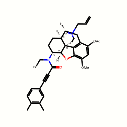 C=CCN1CC[C@]23c4c5c(OC(C)=O)cc(OC)c4O[C@H]2[C@@H](N(CC(C)C)C(=O)C#Cc2ccc(C)c(C)c2)CC[C@H]3[C@H]1C5